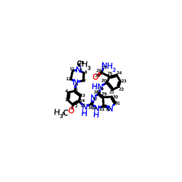 COc1ccc(N2CCN(C)CC2)cc1Nc1nc(Nc2ccccc2C(N)=O)c2ccnc-2[nH]1